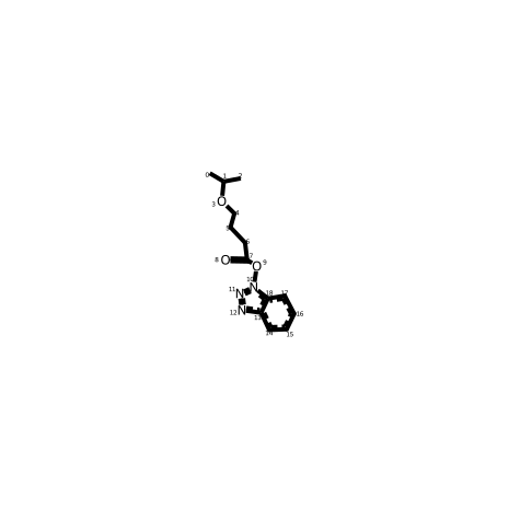 CC(C)OCCCC(=O)On1nnc2ccccc21